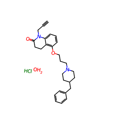 C#CCN1C(=O)CCc2c(OCCCN3CCC(Cc4ccccc4)CC3)cccc21.Cl.O